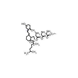 C=C1CC[C@H](O)C/C1=C/C=C1CCC[C@@]2(C)C1CC[C@@H]2[C@H](C)CCCC(C)C.NCC(=O)[O-].NCC(=O)[O-].NCC(=O)[O-].[Cr+3]